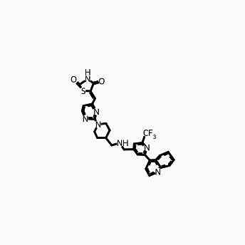 O=C1NC(=O)/C(=C/c2ccnc(N3CCC(CNCc4cc(-c5ccnc6ccccc56)nc(C(F)(F)F)c4)CC3)n2)S1